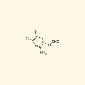 Nc1cc(Cl)c(Br)cc1OC=O